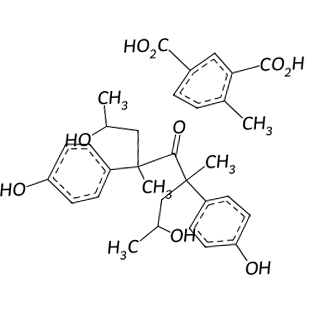 CC(O)CC(C)(C(=O)C(C)(CC(C)O)c1ccc(O)cc1)c1ccc(O)cc1.Cc1ccc(C(=O)O)cc1C(=O)O